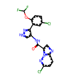 O=C(Nc1c[nH]nc1-c1cc(Cl)ccc1OC(F)F)c1cnc2ccc(Cl)nn12